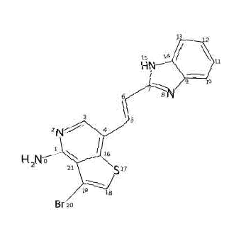 Nc1ncc(C=Cc2nc3ccccc3[nH]2)c2scc(Br)c12